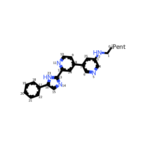 CCCC(C)CNc1cncc(-c2ccnc(-c3ncc(-c4ccccc4)[nH]3)c2)c1